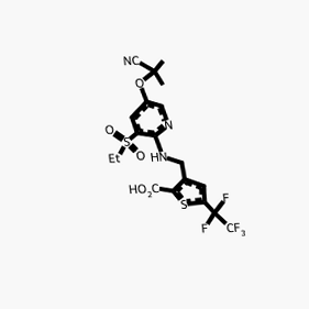 CCS(=O)(=O)c1cc(OC(C)(C)C#N)cnc1NCc1cc(C(F)(F)C(F)(F)F)sc1C(=O)O